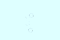 CN1CCC(CN(Cc2ccc(F)cc2)C(=O)NCc2ccc(OCC(F)(F)F)c(F)c2)C1